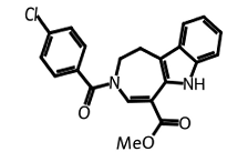 COC(=O)C1=CN(C(=O)c2ccc(Cl)cc2)CCc2c1[nH]c1ccccc21